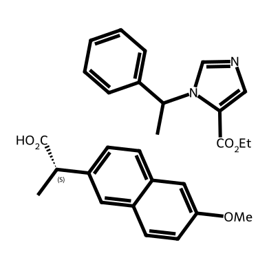 CCOC(=O)c1cncn1C(C)c1ccccc1.COc1ccc2cc([C@H](C)C(=O)O)ccc2c1